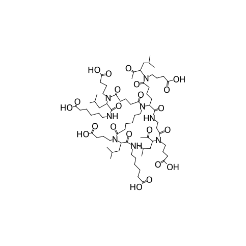 CC(=O)C(CC(C)C)N(CCCC(=O)O)C(=O)CCCC(C(=O)NCCC(=O)N(CCCC(=O)O)C(CC(C)C)C(C)=O)N(CCCCCC(=O)N(CCCC(=O)O)C(CC(C)C)C(=O)NCCCCCC(=O)O)C(=O)CCCC(=O)N(CCCC(=O)O)C(CC(C)C)C(=O)NCCCCCC(=O)O